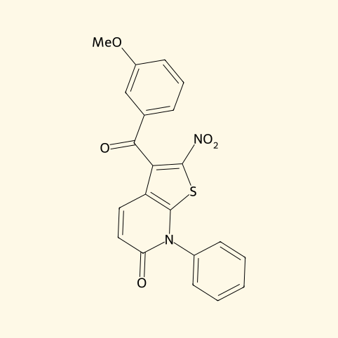 COc1cccc(C(=O)c2c([N+](=O)[O-])sc3c2ccc(=O)n3-c2ccccc2)c1